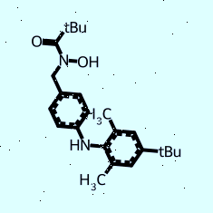 Cc1cc(C(C)(C)C)cc(C)c1Nc1ccc(CN(O)C(=O)C(C)(C)C)cc1